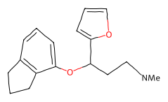 CNCCC(Oc1cccc2c1CCC2)c1ccco1